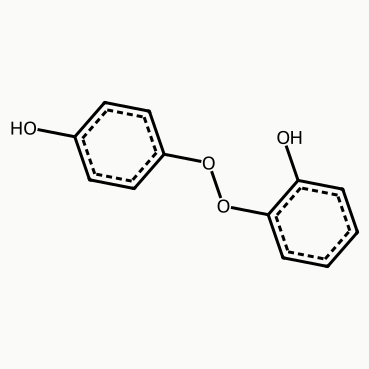 Oc1ccc(OOc2ccccc2O)cc1